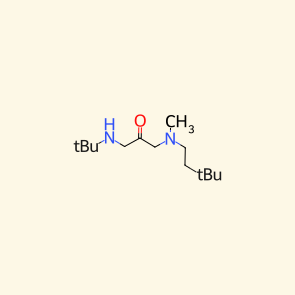 CN(CCC(C)(C)C)CC(=O)CNC(C)(C)C